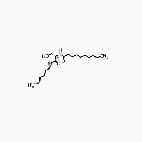 CCCCCCCCCC(=O)N[C@@H](CO)C(=O)NCCCCCC